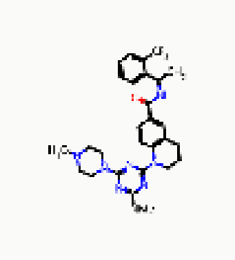 CNc1nc(N2CCN(C)CC2)nc(N2CCCc3cc(C(=O)NC(C)c4ccccc4C(F)(F)F)ccc32)n1